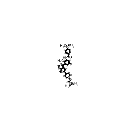 Cc1c(NC(=O)c2ccc(N(C)C)cc2)cc(F)cc1-c1ncnc2[nH]c(C3=CCN(OC(=O)N(C)C)CC3)cc12